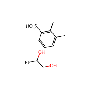 CCC(O)CO.Cc1cccc(S(=O)(=O)O)c1C